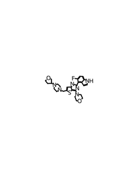 Fc1ccc2[nH]ccc2c1-c1nc(N2CCOCC2)c2sc(CN3CCN(C4CCOC4)CC3)cc2n1